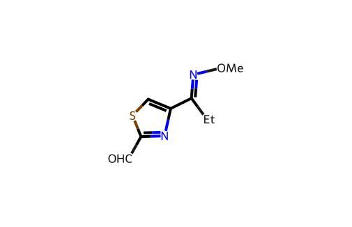 CCC(=NOC)c1csc(C=O)n1